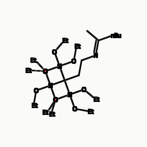 CCCCC(C)=NCCC([Si](OCC)(OCC)OCC)([Si](OCC)(OCC)OCC)[Si](OCC)(OCC)OCC